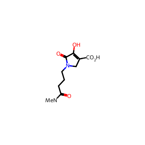 CNC(=O)CCCN1CC(C(=O)O)=C(O)C1=O